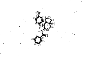 O=C(NC1=N[C@]2(c3cc(Br)ccc3F)COC[C@@H]2CS1)c1ccccc1